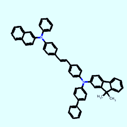 CC1(C)c2ccccc2-c2ccc(N(c3ccc(/C=C/c4ccc(N(c5ccccc5)c5ccc6ccccc6c5)cc4)cc3)c3ccc(-c4ccccc4)cc3)cc21